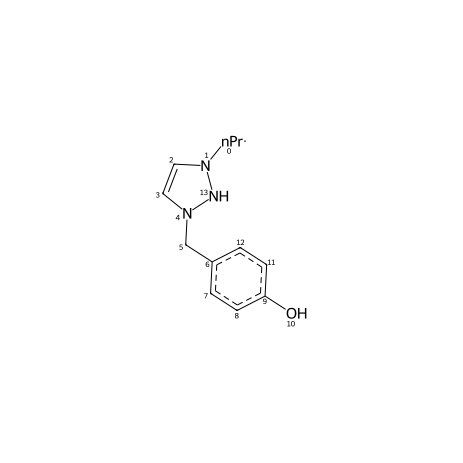 CC[CH]N1C=CN(Cc2ccc(O)cc2)N1